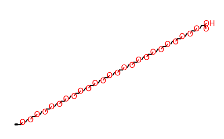 C#CCOCCOCCOCCOCCOCCOCCOCCOCCOCCOCCOCCOCCOCCOCCOCCOCCOCCOCCOCCOCCOCCOCCOCCOCCOCCC(=O)O